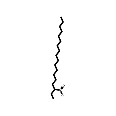 CCCCCCCCCCCCCCCC(CC)[N+](=O)[O-]